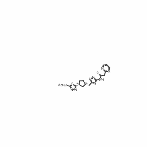 CC(=O)Nc1nnc([C@@H]2CC[C@H](Cc3nnc(NC(=O)Cc4ncccn4)s3)C2)s1